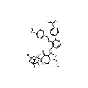 COc1ccc(COc2c(CN3O[C@@H](CO)[C@@H]([C@H](C)O)[C@H]3C(=O)N[C@H]3C[C@H]4C[C@@H]([C@@H]3C)C4(C)C)cccc2-c2ccc(C(N)=O)cc2)cc1